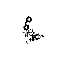 CCN1CCc2c(sc(NC(=O)Nc3ccc(Cc4ccccc4)cc3)c2NC=O)C1